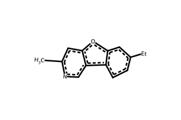 CCc1ccc2c(c1)oc1cc(C)ncc12